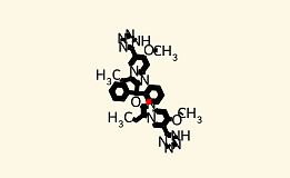 CCc1c(OC(c2ccccc2)(c2ccccc2)c2nc3cc(OC)c(-c4nnn[nH]4)cn3c2CC)nc2cc(OC)c(-c3nnn[nH]3)cn12